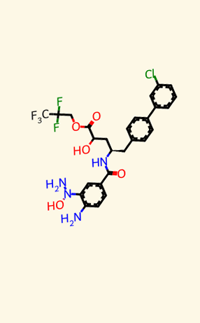 Nc1ccc(C(=O)N[C@H](Cc2ccc(-c3cccc(Cl)c3)cc2)CC(O)C(=O)OCC(F)(F)C(F)(F)F)cc1N(N)O